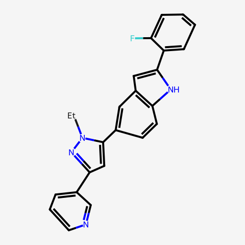 CCn1nc(-c2cccnc2)cc1-c1ccc2[nH]c(-c3ccccc3F)cc2c1